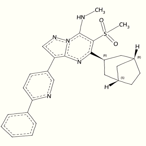 CNc1c(S(C)(=O)=O)c([C@H]2C[C@@H]3CC[C@@H](C3)C2)nc2c(-c3ccc(-c4ccccc4)nc3)cnn12